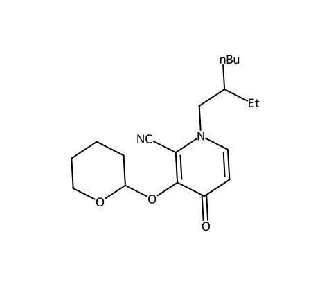 CCCCC(CC)Cn1ccc(=O)c(OC2CCCCO2)c1C#N